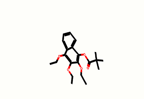 CCOc1c(OCC)c(OC(=O)C(C)(C)C)c2ccccc2c1OCC